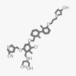 Cc1c(COc2cc(OCc3cncc(C#N)c3)c(CNC(CO)CO)c(C)c2Cl)cccc1-c1cccc(OCCCN2CCC(O)C2)c1C